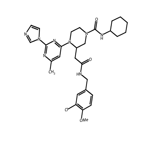 COc1ccc(CNC(=O)CC2CN(C(=O)NC3CCCCC3)CCN2c2cc(C)nc(-n3ccnc3)n2)cc1Cl